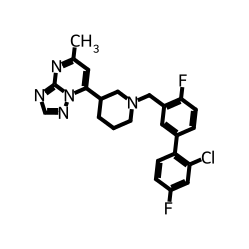 Cc1cc(C2CCCN(Cc3cc(-c4ccc(F)cc4Cl)ccc3F)C2)n2ncnc2n1